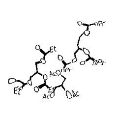 CC(=O)OCC(COC(C)=O)OC(C)=O.CCC(=O)OCC(COC(=O)CC)OC(=O)CC.CCCC(=O)OCC(COC(=O)CCC)OC(=O)CCC